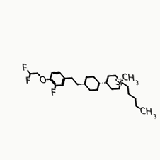 CCCCC[Si]1(C)CCC([C@H]2CC[C@H](CCc3ccc(OCC(F)F)c(F)c3)CC2)CC1